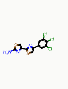 Nc1nc(-c2nc(-c3cc(Cl)c(Cl)c(Cl)c3)cs2)cs1